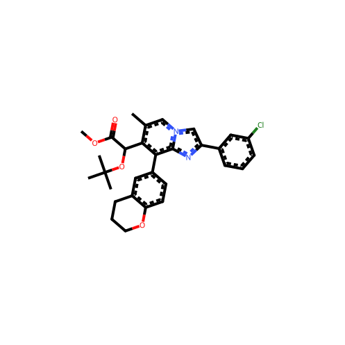 COC(=O)C(OC(C)(C)C)c1c(C)cn2cc(-c3cccc(Cl)c3)nc2c1-c1ccc2c(c1)CCCO2